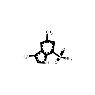 Cc1cc(S(N)(=O)=O)c2[nH]cc(C)c2c1